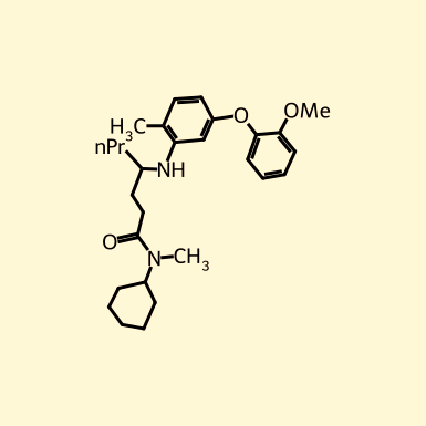 CCCC(CCC(=O)N(C)C1CCCCC1)Nc1cc(Oc2ccccc2OC)ccc1C